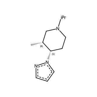 CC(C)N1CC[C@H](n2cccn2)[C@H](C)C1